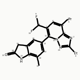 CCc1nc2c(C(C)C)cc(C(F)F)c(-c3cc(C)c4c(c3)CC(=O)N4)n2n1